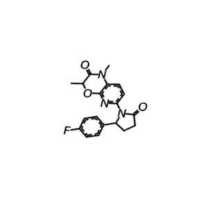 CC1Oc2nc(N3C(=O)CCC3c3ccc(F)cc3)ccc2N(C)C1=O